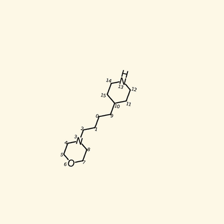 C(CCN1CCOCC1)CC1CCNCC1